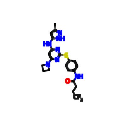 Cc1cc(Nc2cc(N3CCC3)nc(Sc3ccc(NC(=O)CCC(F)(F)F)cc3)n2)[nH]n1